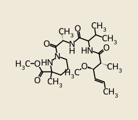 C/C=C/[C@@H](OC)[C@@H](C)C(=O)NC(C(=O)N[C@@H](C)C(=O)N1CCCC(C)(C(=O)OC)N1)C(C)C